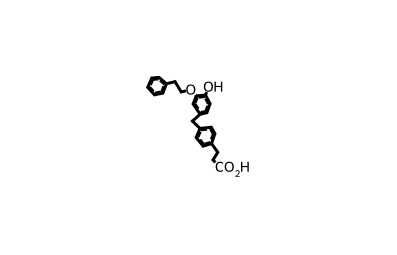 O=C(O)CCc1ccc(Cc2ccc(O)c(OCCc3ccccc3)c2)cc1